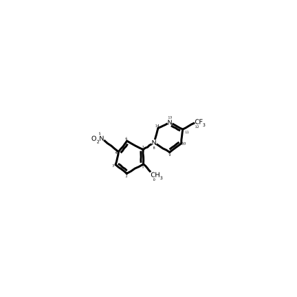 Cc1ccc([N+](=O)[O-])cc1N1C=CC(C(F)(F)F)=NC1